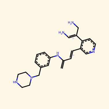 C=C(/C=C/c1cnccc1/C(=C/N)CN)Nc1cccc(CN2CCNCC2)c1